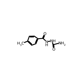 Cc1ccc(C(=O)NNC(N)=O)cc1